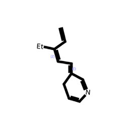 C=C/C(=C\C=C1\C=NC=CC1)CC